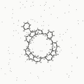 c1ccc(-n2c3ccc4cc3c3cc(ccc32)c2ccc3sc5ccc(cc5c3c2)c2ccc3sc5ccc(cc5c3c2)c2cccc4c2)cc1